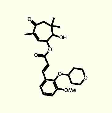 COc1cccc(C=CC(=O)OC2C=C(C)C(=O)CC(C)(C)C2O)c1OC1CCOCC1